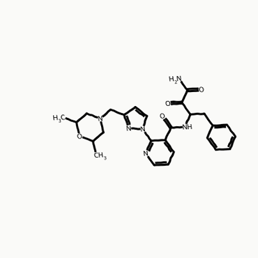 CC1CN(Cc2ccn(-c3ncccc3C(=O)NC(Cc3ccccc3)C(=O)C(N)=O)n2)CC(C)O1